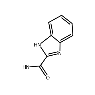 [NH]C(=O)c1nc2ccccc2[nH]1